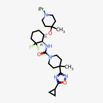 CC(C)N1CCC(C)(O[C@H]2CCCC(F)(F)[C@@H]2NC(=O)N2CCC(C)(c3noc(C4CC4)n3)CC2)CC1